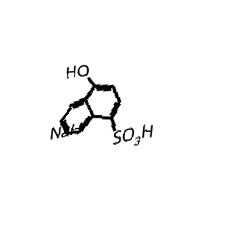 O=S(=O)(O)c1ccc(O)c2ccccc12.[NaH]